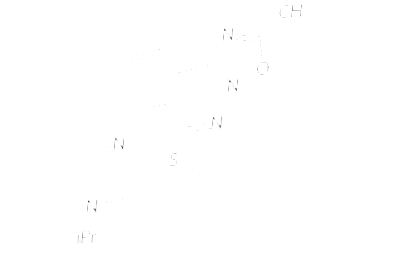 Cc1nc(-c2cccc(N3CCN(C(C)C)CC3)c2-c2nccs2)no1